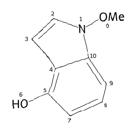 COn1ccc2c(O)cccc21